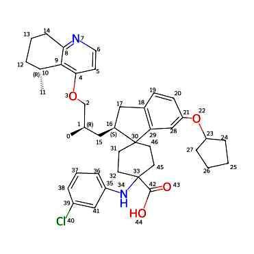 C[C@@H](COc1ccnc2c1[C@H](C)CCC2)C[C@H]1Cc2ccc(OC3CCCC3)cc2C12CCC(Nc1cccc(Cl)c1)(C(=O)O)CC2